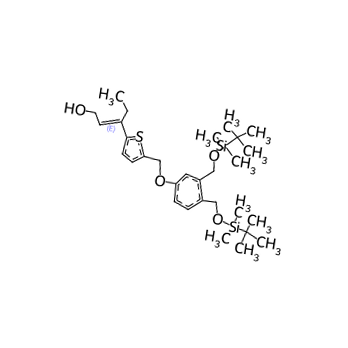 CC/C(=C\CO)c1ccc(COc2ccc(CO[Si](C)(C)C(C)(C)C)c(CO[Si](C)(C)C(C)(C)C)c2)s1